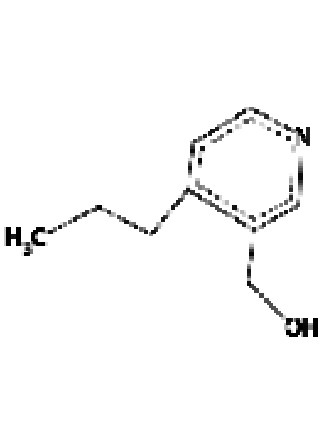 CCCc1ccncc1CO